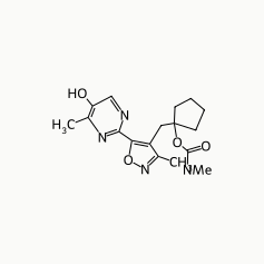 CNC(=O)OC1(Cc2c(C)noc2-c2ncc(O)c(C)n2)CCCC1